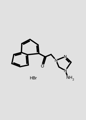 Br.NN1C=NN(CC(=O)c2cccc3ccccc23)C1